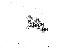 Cc1c(Nc2c(C#N)cncc2-c2cc(CN3CCN(C)CC3)c(C#N)cn2)ccc2[nH]ccc12